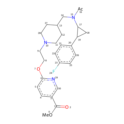 COC(=O)c1ccc(OCCN2CCC(CN(C(C)=O)C3CC3c3ccc(F)cc3)CC2)nc1